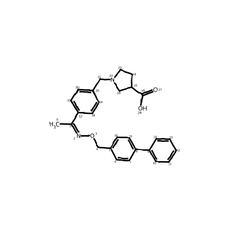 C/C(=N/OCc1ccc(-c2ccccc2)cc1)c1ccc(CN2CCC(C(=O)O)C2)cc1